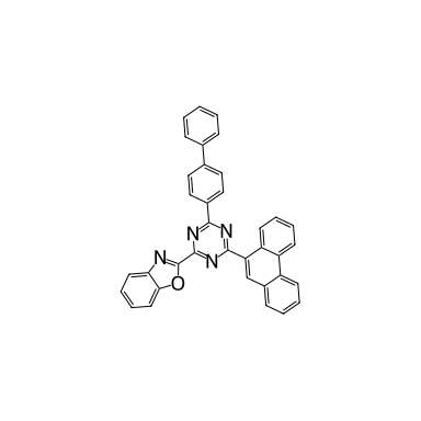 c1ccc(-c2ccc(-c3nc(-c4nc5ccccc5o4)nc(-c4cc5ccccc5c5ccccc45)n3)cc2)cc1